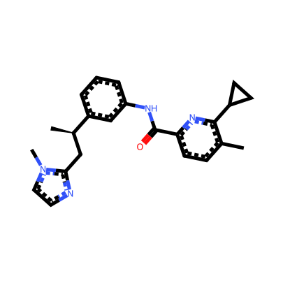 Cc1ccc(C(=O)Nc2cccc([C@H](C)Cc3nccn3C)c2)nc1C1CC1